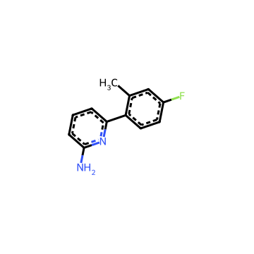 Cc1cc(F)ccc1-c1cccc(N)n1